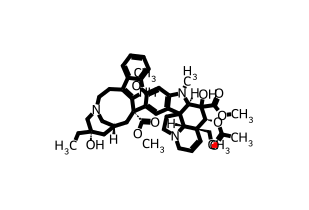 CC[C@]1(O)C[C@@H]2CN(CCc3c([nH]c4ccccc34)[C@@](C(=O)OC)(c3cc4c(cc3OC)N(C)[C@H]3C(O)(C(=O)OC)[C@H](OC(C)=O)[C@]5(CC)C=CCN6CCC43[C@@H]65)C2)C1